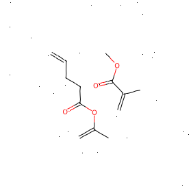 C=C(C)C(=O)OC.C=CCCC(=O)OC(=C)C